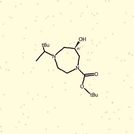 CC(N1CCN(C(=O)OC(C)(C)C)C[C@H](O)C1)C(C)(C)C